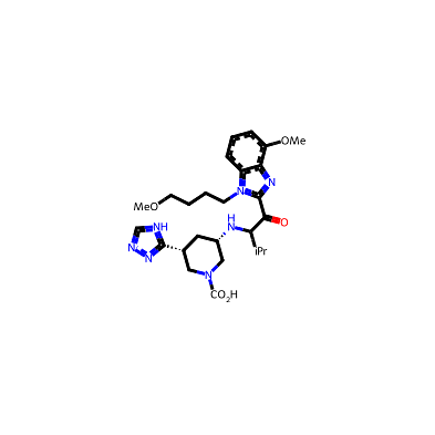 COCCCCn1c(C(=O)C(N[C@H]2C[C@@H](c3nnc[nH]3)CN(C(=O)O)C2)C(C)C)nc2c(OC)cccc21